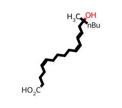 CCCCC(C)(O)C/C=C/C=C\CCCC/C=C\CCCC(=O)O